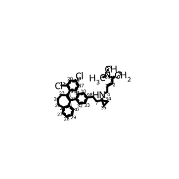 C=C(/C=C/CNC1(CCc2ccc(C3=C(c4ccc(Cl)cc4Cl)CCCc4ccccc43)cc2)CC1)N(C)C